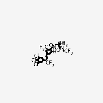 CC(CNC(=O)c1ccc(/C=C/C(c2cc(Cl)c(Cl)c(Cl)c2)C(F)(F)F)cc1C(F)(F)F)C(=O)NCC(F)(F)F